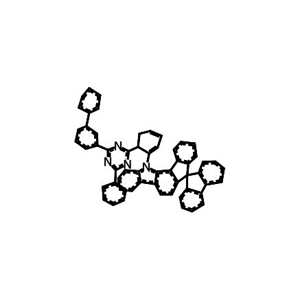 C1=CCC(c2nc(-c3ccccc3)nc(-c3cccc(-c4ccccc4)c3)n2)C(n2c3ccccc3c3ccc4c(c32)-c2ccccc2C42c3ccccc3-c3ccccc32)=C1